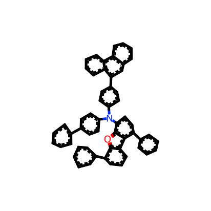 c1ccc(-c2ccc(N(c3ccc(-c4cc5ccccc5c5ccccc45)cc3)c3ccc(-c4ccccc4)c4c3oc3c(-c5ccccc5)cccc34)cc2)cc1